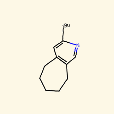 CC(C)(C)c1cc2c(cn1)CCCCC2